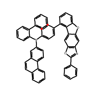 c1ccc(-c2nc3cc4oc5cccc(-c6ccc(N(c7ccc8c(ccc9ccccc98)c7)c7ccccc7-c7ccccc7)cc6)c5c4cc3o2)cc1